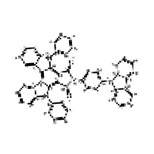 O=C1c2c(c3c(c4ccccc4n3-c3ccccc3)c3c4ccccc4n(-c4ccccc4)c23)C(=O)N1c1ccc(-n2c3ccccc3c3ccccc32)cc1